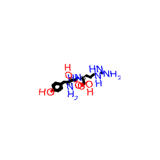 N=C(N)NCCC[C@H](NC(=O)[C@@H](O)[C@@H](N)Cc1ccc(O)cc1)C(=O)O